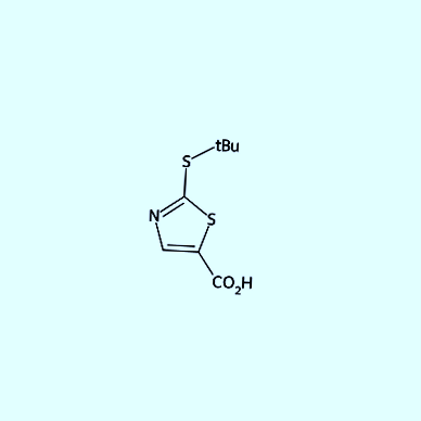 CC(C)(C)Sc1ncc(C(=O)O)s1